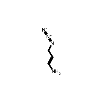 [N-]=[N+]=NCC=CN